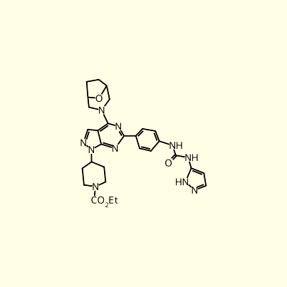 CCOC(=O)N1CCC(n2ncc3c(N4CC5CCC(C4)O5)nc(-c4ccc(NC(=O)Nc5ccn[nH]5)cc4)nc32)CC1